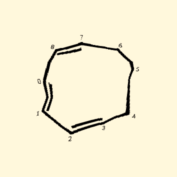 [C]1=CC=CCCCC=C1